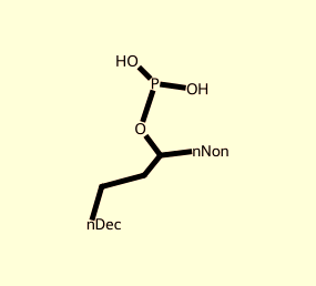 CCCCCCCCCCCCC(CCCCCCCCC)OP(O)O